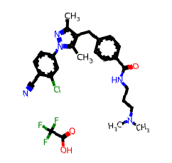 Cc1nn(-c2ccc(C#N)c(Cl)c2)c(C)c1Cc1ccc(C(=O)NCCCN(C)C)cc1.O=C(O)C(F)(F)F